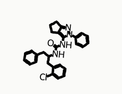 O=C(Nc1c2c(nn1-c1ccccc1)CCC2)NC(Cc1ccccc1)Cc1ccccc1Cl